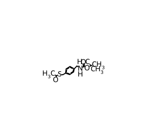 CC(=O)SCc1ccc(CNC(=O)OC(C)(C)C)cc1